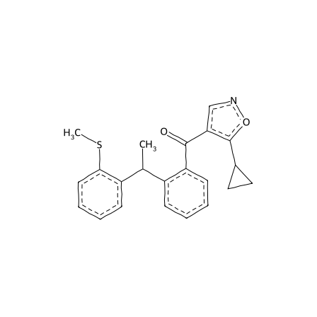 CSc1ccccc1C(C)c1ccccc1C(=O)c1cnoc1C1CC1